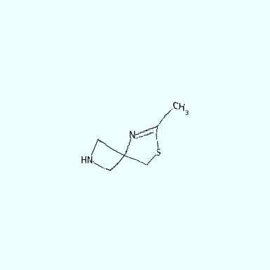 CC1=NC2(CNC2)CS1